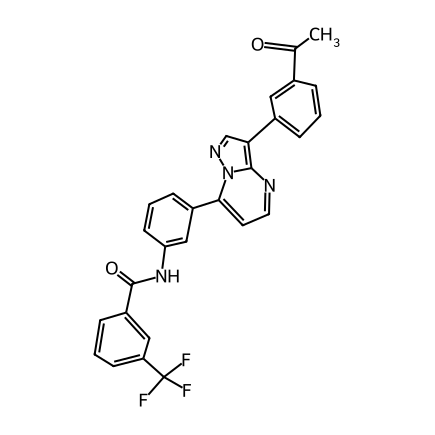 CC(=O)c1cccc(-c2cnn3c(-c4cccc(NC(=O)c5cccc(C(F)(F)F)c5)c4)ccnc23)c1